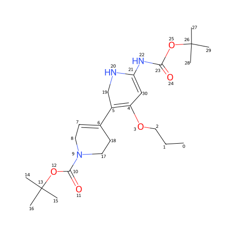 CCCOC1=C(C2=CCN(C(=O)OC(C)(C)C)CC2)CNC(NC(=O)OC(C)(C)C)=C1